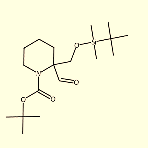 CC(C)(C)OC(=O)N1CCCCC1(C=O)CO[Si](C)(C)C(C)(C)C